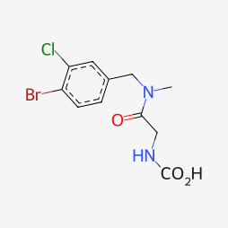 CN(Cc1ccc(Br)c(Cl)c1)C(=O)CNC(=O)O